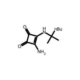 CCCCC(C)(C)Nc1c(N)c(=O)c1=O